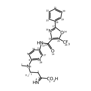 C[C@@H](CC(=N)C(=O)O)N(C)c1ccc(NC(=O)c2nc(-c3ccccc3)oc2C(F)(F)F)cn1